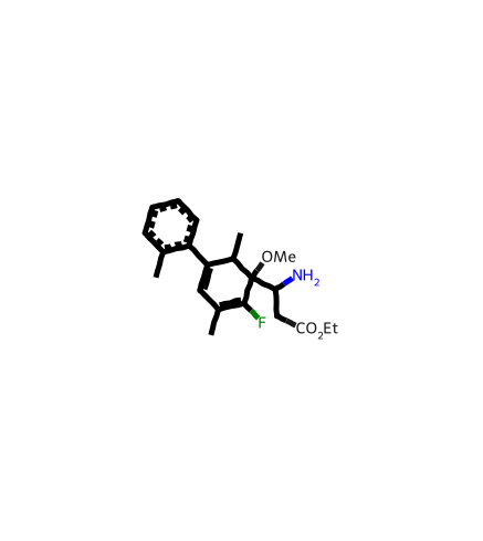 CCOC(=O)CC(N)C1(OC)C(F)=C(C)C=C(c2ccccc2C)C1C